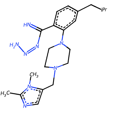 Cc1ncc(CN2CCN(c3cc(CC(C)C)ccc3C(=N)/N=N\N)CC2)n1C